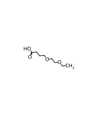 [CH2]COCCOCCCC(=O)O